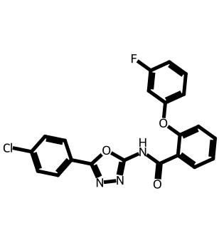 O=C(Nc1nnc(-c2ccc(Cl)cc2)o1)c1ccccc1Oc1cccc(F)c1